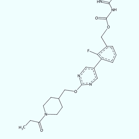 CCC(=O)N1CCC(COc2ncc(-c3cccc(COC(=O)NC(=N)N)c3F)cn2)CC1